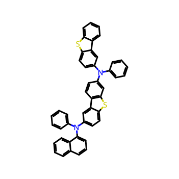 c1ccc(N(c2ccc3c(c2)sc2ccc(N(c4ccccc4)c4cccc5ccccc45)cc23)c2ccc3sc4ccccc4c3c2)cc1